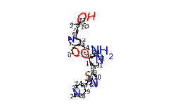 COc1cnc(C#CC(C)(C)O)cc1COc1cc(-c2cnc(C3CCN(C)CC3)s2)cnc1N